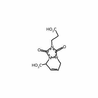 O=C(O)CCn1c(=O)n2n(c1=O)C(C(=O)O)C=CC2